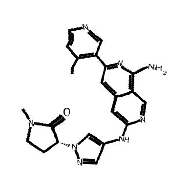 Cc1ccncc1-c1cc2cc(Nc3cnn([C@@H]4CCN(C)C4=O)c3)ncc2c(N)n1